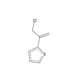 C=C(CCl)c1cccs1